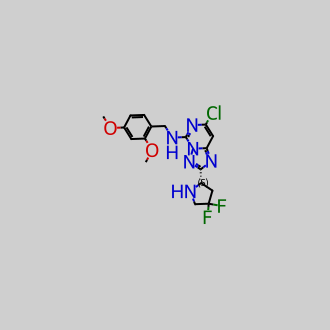 COc1ccc(CNc2nc(Cl)cc3nc([C@@H]4CC(F)(F)CN4)nn23)c(OC)c1